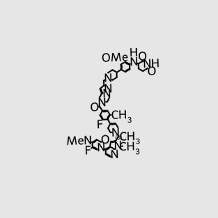 CNc1cc(=O)n(-c2ccnc3c2cc([C@H](C)N2CC=C(c4c(C)cc(C(=O)N5CCn6nc(CN7CCC(c8ccc(NC9CCC(=O)NC9=O)c(OC)c8)CC7)cc6C5)cc4F)CC2)n3C)cc1F